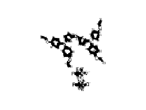 CCOc1ccc([S+](c2ccc(OCC)cc2)c2ccc(Sc3ccc([S+](c4ccc(OCC)cc4)c4ccc(OCC)cc4)s3)s2)cc1.O=S(=O)([O-])C(F)(F)F.O=S(=O)([O-])C(F)(F)F